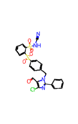 N#CNS(=O)(=O)c1ccccc1S(=O)(=O)c1ccc(Cn2c(-c3ccccc3)nc(Cl)c2C=O)cc1